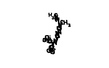 CCN(CCN1C=CN(C)C1)c1ccc(/N=N/c2ccc(/C=N/N=C(c3ccc([N+](=O)[O-])cc3)c3ccc([N+](=O)[O-])cc3)cc2)cc1